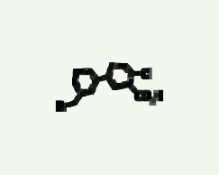 O=C(O)c1cc(-c2cccc(CBr)c2)ccc1Cl